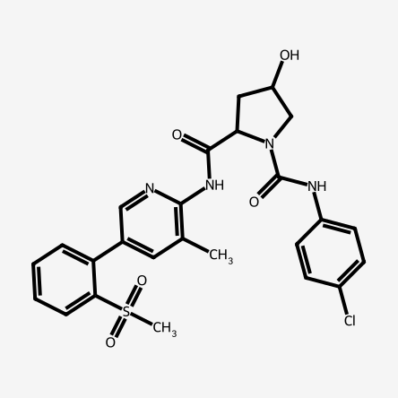 Cc1cc(-c2ccccc2S(C)(=O)=O)cnc1NC(=O)C1CC(O)CN1C(=O)Nc1ccc(Cl)cc1